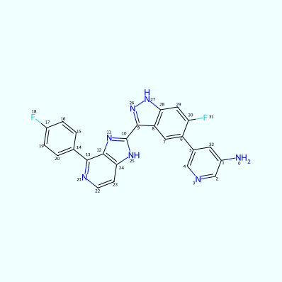 Nc1cncc(-c2cc3c(-c4nc5c(-c6ccc(F)cc6)nccc5[nH]4)n[nH]c3cc2F)c1